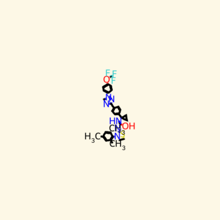 Cc1cc(C)c(N2CCS/C2=N\C(O)NC2(c3ccc(-c4ncn(-c5ccc(OC(F)(F)F)cc5)n4)cc3)CC2)c(C)c1